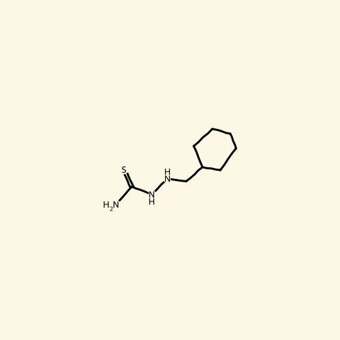 NC(=S)NNCC1CCCCC1